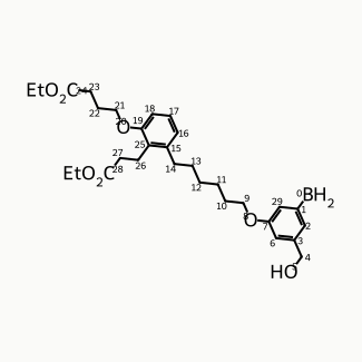 Bc1cc(CO)cc(OCCCCCCc2cccc(OCCCC(=O)OCC)c2CCC(=O)OCC)c1